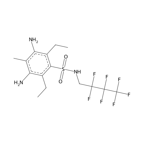 CCc1c(N)c(C)c(N)c(CC)c1S(=O)(=O)NCC(F)(F)C(F)(F)C(F)(F)F